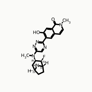 CN(c1cnc(-c2cc3ccn(C)c(=O)c3cc2O)nn1)[C@@H]1C[C@@H]2CC[C@H](N2)[C@@H]1F